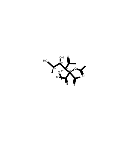 CO[C@@](C(C)=O)([C@H](O)[C@@H](C)O)[C@](OC(C)=O)(C(C)=O)C(=O)Br